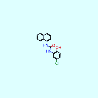 O=C(Nc1cc(Cl)ccc1O)Nc1cccc2ccccc12